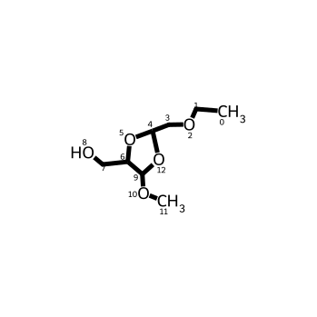 CCOCC1OC(CO)C(OC)O1